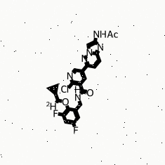 [2H]C(Oc1c(F)cc(F)cc1CNC(=O)c1cc(-c2ccc3nc(NC(C)=O)cn3n2)cnc1Cl)C1CC1